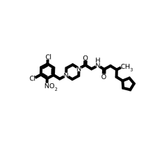 CC(CC(=O)NCC(=O)N1CCN(Cc2cc(Cl)cc(Cl)c2[N+](=O)[O-])CC1)CC1CCCC1